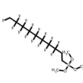 CO[Si](CCC(F)(F)C(F)(F)C(F)(F)C(F)(F)C(F)(F)C(F)(F)C(F)(F)CF)(OC)OC